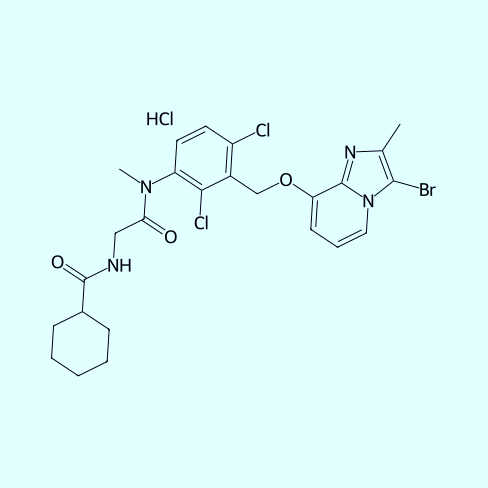 Cc1nc2c(OCc3c(Cl)ccc(N(C)C(=O)CNC(=O)C4CCCCC4)c3Cl)cccn2c1Br.Cl